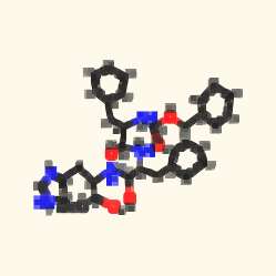 COC(=O)C(Cc1c[nH]cn1)NC(=O)C(Cc1ccccc1)NC(=O)C(Cc1ccccc1)NC(=O)OCc1ccccc1